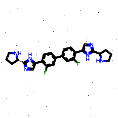 Fc1cc(-c2ccc(-c3cnc([C@@H]4CCCN4)[nH]3)c(F)c2)ccc1-c1cnc(C2CCCN2)[nH]1